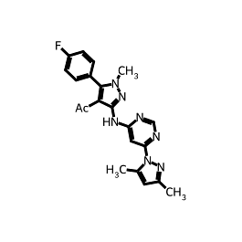 CC(=O)c1c(Nc2cc(-n3nc(C)cc3C)ncn2)nn(C)c1-c1ccc(F)cc1